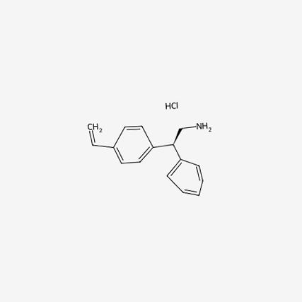 C=Cc1ccc([C@@H](CN)c2ccccc2)cc1.Cl